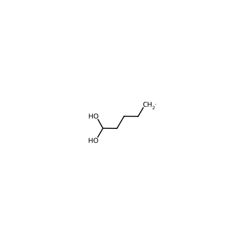 [CH2]CCCC(O)O